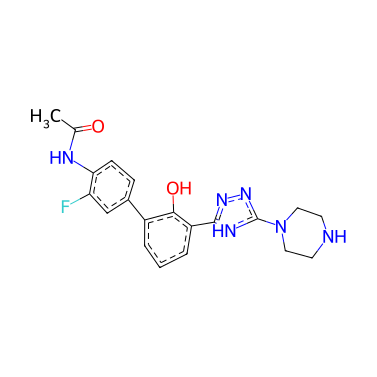 CC(=O)Nc1ccc(-c2cccc(-c3nnc(N4CCNCC4)[nH]3)c2O)cc1F